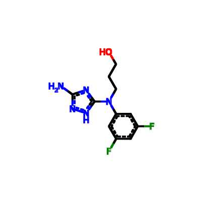 Nc1n[nH]c(N(CCCO)c2cc(F)cc(F)c2)n1